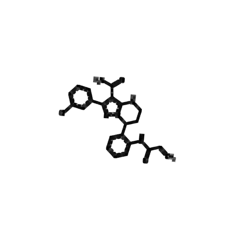 C=CC(=O)Nc1ccccc1C1CCNc2c(C(N)=O)c(-c3cccc(Cl)c3)nn21